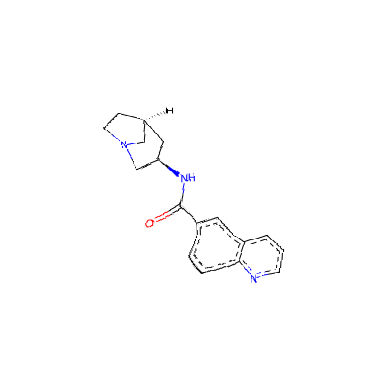 O=C(N[C@@H]1C[C@@H]2CCN(C2)C1)c1ccc2ncccc2c1